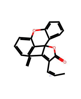 C=CC1=C(/C=C\C)C(=O)OC12c1ccccc1Oc1ccccc12